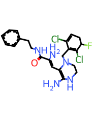 NC1=C(/C=C(\N)C(=O)NCCc2ccccc2)N(CC2=C(Cl)C(F)CC=C2Cl)CCN1